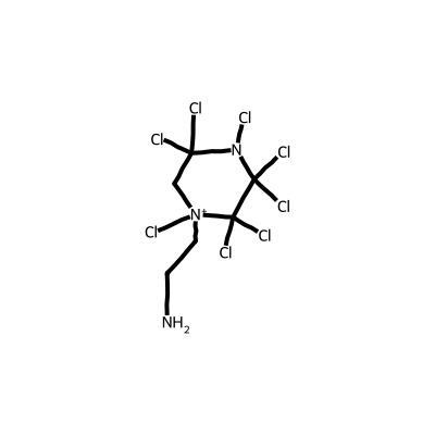 NCC[N+]1(Cl)CC(Cl)(Cl)N(Cl)C(Cl)(Cl)C1(Cl)Cl